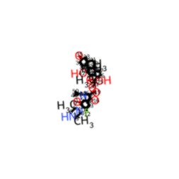 COc1c(N2CCNC(C)C2)c(F)cc2c(=O)c(C(=O)OCC(=O)[C@@]3(O)CC[C@H]4[C@@H]5CCC6=CC(=O)C=C[C@]6(C)[C@H]5[C@@H](O)C[C@@]43C)cn(C3CC3)c12